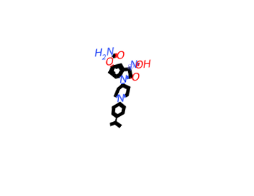 CC(C)[C@H]1CC[C@@H](N2CCC(N3C(=O)/C(=N\O)c4cc(OC(N)=O)ccc43)CC2)CC1